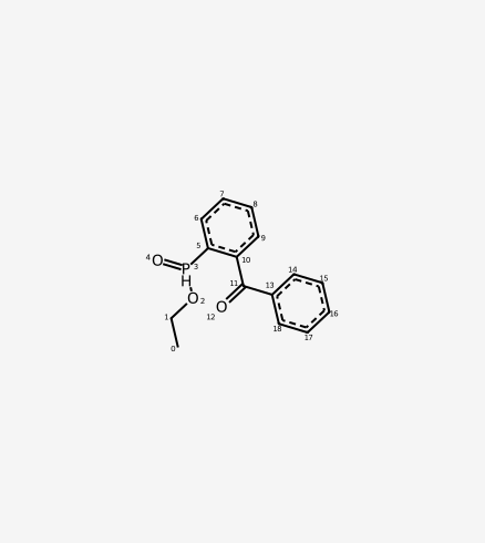 CCO[PH](=O)c1ccccc1C(=O)c1ccccc1